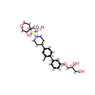 Cc1cc(C2CCN(S(=O)(=O)C3(C(=O)O)CCOCC3)CC2)ccc1-c1cccc(OC[C@@H](O)CO)c1